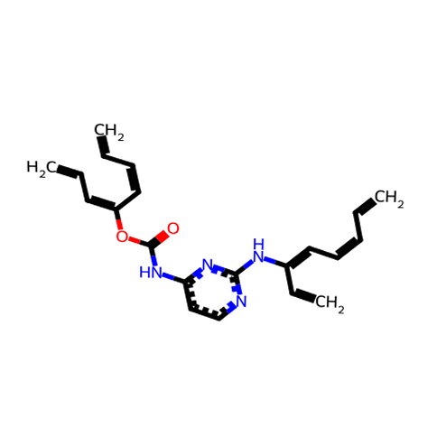 C=C/C=C\C=C(/C=C)Nc1nccc(NC(=O)OC(/C=C\C=C)=C/C=C)n1